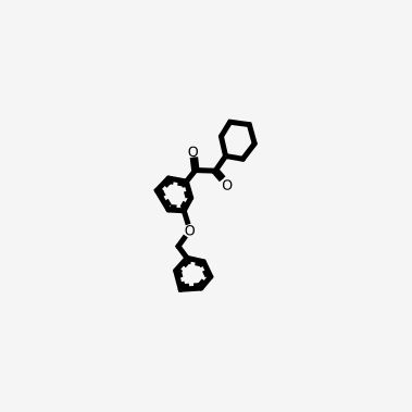 O=C(C(=O)C1CCCCC1)c1cccc(OCc2ccccc2)c1